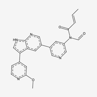 CC=CC(=O)N(C=O)c1cncc(-c2cnc3[nH]cc(-c4ccnc(OC)c4)c3c2)c1